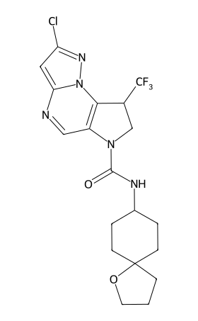 O=C(NC1CCC2(CCCO2)CC1)N1CC(C(F)(F)F)c2c1cnc1cc(Cl)nn21